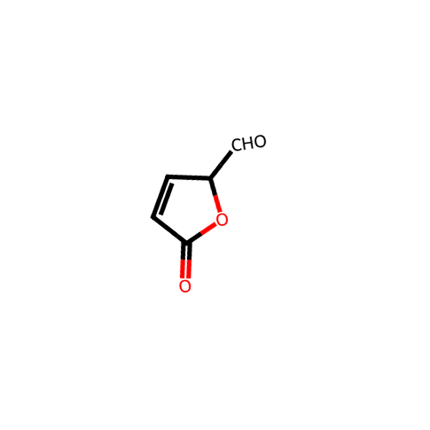 O=CC1C=CC(=O)O1